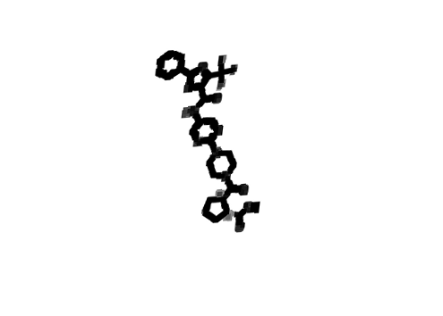 O=C(Nc1cnc(N2CCN(C(=O)[C@@H]3CCC[C@H]3C(=O)O)CC2)nc1)c1nc(-c2ccccc2)oc1C(F)(F)F